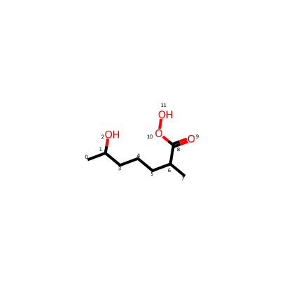 CC(O)CCCC(C)C(=O)OO